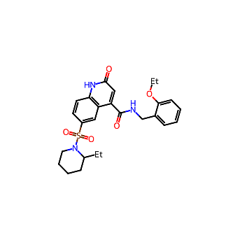 CCOc1ccccc1CNC(=O)c1cc(=O)[nH]c2ccc(S(=O)(=O)N3CCCCC3CC)cc12